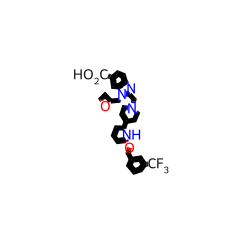 O=C(O)c1ccc2nc(CN3CC=C(C4C=CC=C(OCc5cccc(C(F)(F)F)c5)N4)CC3)n(CC3CCO3)c2c1